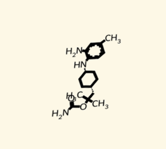 Cc1ccc(N[C@H]2CC[C@@H](CC(C)(C)OC(N)=O)CC2)c(N)c1